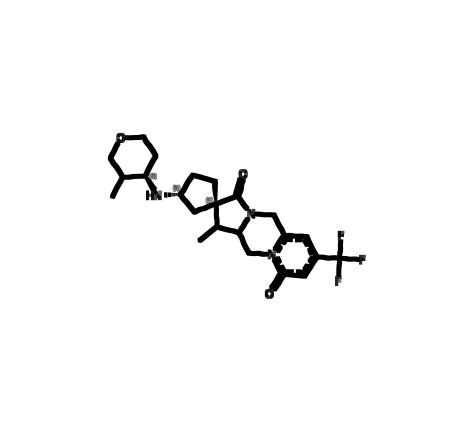 CC1COCC[C@H]1N[C@@H]1CC[C@@]2(C1)C(=O)N1Cc3cc(C(F)(F)F)cc(=O)n3CC1C2C